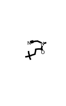 CN(CC#N)C(=O)CCC(C)(C)C